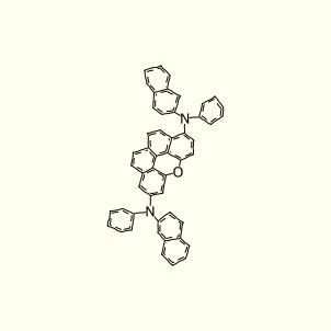 c1ccc(N(c2ccc3ccccc3c2)c2cc3c4c(ccc5ccc6c(N(c7ccccc7)c7ccc8ccccc8c7)ccc(c6c54)O3)c2)cc1